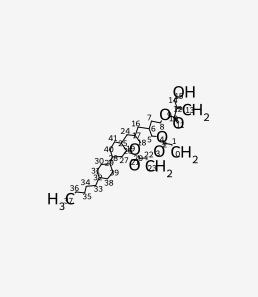 C=CC(=O)OCC(CCOC(=O)C(=C)CO)CC(COC(=O)C=C)CC1CCC(C2CCC(CCCCC)CC2)CC1